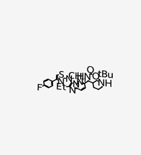 CCc1nc2ccc(C(NC(=O)OC(C)(C)C)C3CCCNC3)nn2c1N(C)c1nc(-c2ccc(F)cc2)cs1